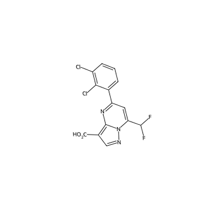 O=C(O)c1cnn2c(C(F)F)cc(-c3cccc(Cl)c3Cl)nc12